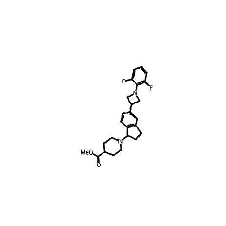 COC(=O)C1CCN(C2CCc3cc(C4CN(c5c(F)cccc5F)C4)ccc32)CC1